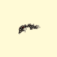 COc1c(N2CCNC(C)C2)c(F)cc2c(=O)c(C(=O)OCOC(=O)OCC(=O)[C@]3(O)CC[C@@H]4[C@H]5CCC6=CC(=O)C=C[C@@]6(C)C5[C@H](O)C[C@]43C)cn(C3CC3)c12